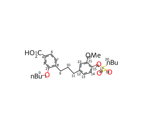 CCCCOc1cc(C(=O)O)ccc1CCCc1ccc(OS(=O)(=O)CCCC)c(OC)c1